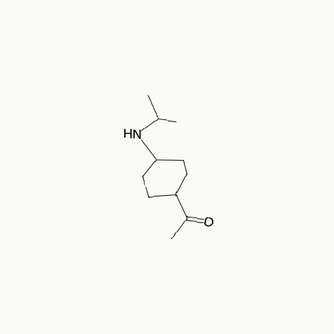 CC(=O)C1CCC(NC(C)C)CC1